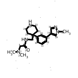 CN(C)CC(=O)NCC1(c2cccc(-c3cnn(C)c3)c2)CCNCC1